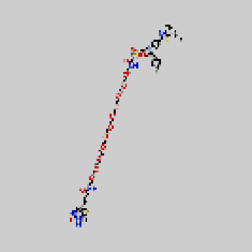 Cc1nc(C2CCC(N3C[C@H](CS(=O)(=O)CCC(=O)NCCOCCOCCOCCOCCOCCOCCOCCOCCOCCOCCOCCNC(=O)CCCC[C@@H]4SC[C@@H]5NC(=O)N[C@@H]54)OC[C@@H]3Cc3ccc(Cl)cc3)CC2)sc1C